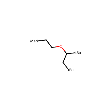 CNCCOC(CC(C)(C)C)C(C)(C)C